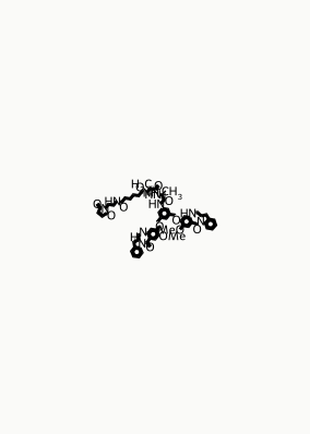 COc1cc2c(cc1OCc1cc(COc3cc4c(cc3OC)C(=O)N3c5ccccc5CC3CN4)cc(NC(=O)[C@H](C)NC(=O)[C@H](C)NC(=O)CCCCC(=O)NCCN3C(=O)C=CC3=O)c1)N=C[C@@H]1Cc3ccccc3N1C2=O